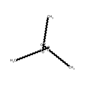 CCCCCCCCCCCCCCCCCCCCOC(=O)C1CC(C(=O)OCCCCCCCCCCCCCCCCCCCC)CC(C(=O)OCCCCCCCCCCCCCCCCCCCC)C1